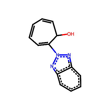 OC1C=CC=CC=C1n1nc2ccccc2n1